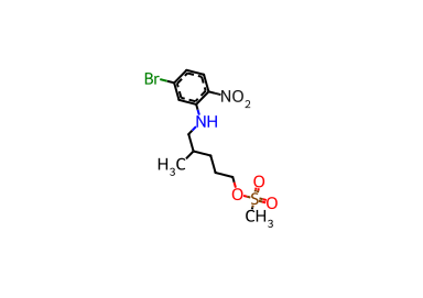 CC(CCCOS(C)(=O)=O)CNc1cc(Br)ccc1[N+](=O)[O-]